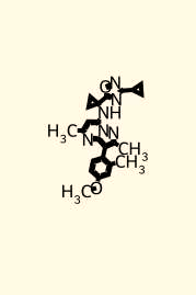 COc1ccc(-c2c(C)nn3c(NC4(c5nc(C6CC6)no5)CC4)cc(C)nc23)c(C)c1